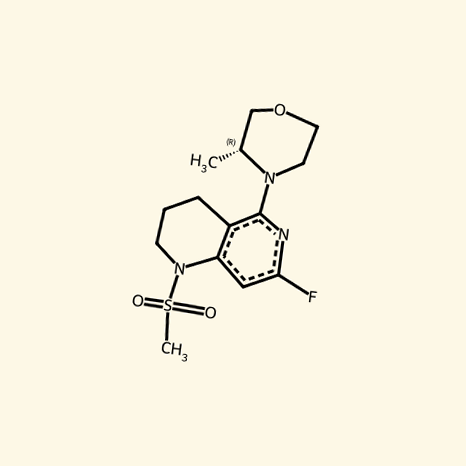 C[C@@H]1COCCN1c1nc(F)cc2c1CCCN2S(C)(=O)=O